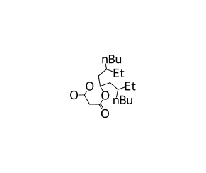 CCCCC(CC)CC1(CC(CC)CCCC)OC(=O)CC(=O)O1